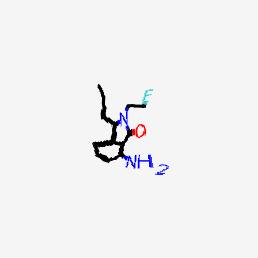 CCCC1c2cccc(N)c2C(=O)N1CCF